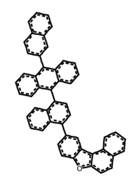 c1ccc2cc(-c3c4ccccc4c(-c4ccc(-c5ccc6oc7ccc8ccccc8c7c6c5)c5ccccc45)c4ccccc34)ccc2c1